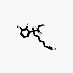 C#CCCCCCC(C)(C(=O)CBr)c1cccc(Br)c1F